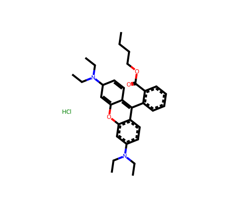 CCCCOC(=O)c1ccccc1C1=C2C=CC(N(CC)CC)C=C2Oc2cc(N(CC)CC)ccc21.Cl